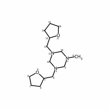 CN1CN(CC2CCCO2)CN(CC2CCCO2)C1